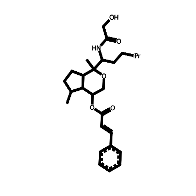 CC(C)CCC(NC(=O)CO)C1(C)OCC(OC(=O)/C=C/c2ccccc2)C2C(C)CCC21